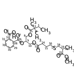 CCC(C)(C)C(=O)OCC(COC(=O)CCCSCC(C)C(=O)OC)OC(=O)c1ccccc1C(=O)O